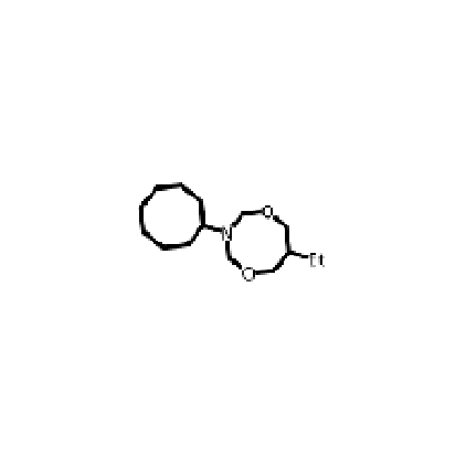 CCC1COCN(C2CCCCCCC2)COC1